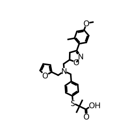 COc1ccc(C2=NOC(CN(Cc3ccc(SC(C)(C)C(=O)O)cc3)Cc3ccco3)C2)c(C)c1